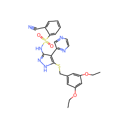 CCOc1cc(CSc2[nH]nc(NS(=O)(=O)c3ccccc3C#N)c2-c2cnccn2)cc(OCC)c1